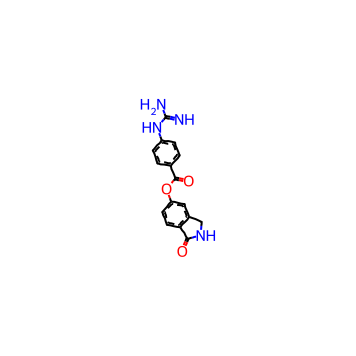 N=C(N)Nc1ccc(C(=O)Oc2ccc3c(c2)CNC3=O)cc1